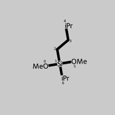 CO[Si](CCC(C)C)(OC)C(C)C